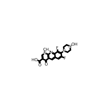 Cn1cc(C(=O)O)c(=O)c2cc3cc(F)c(N4CCN(O)CC4)c(F)c3nc21